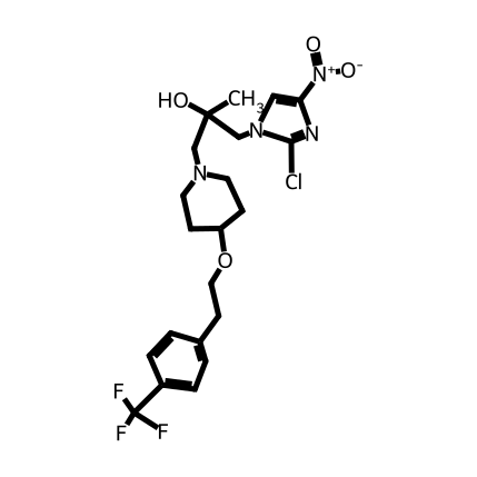 CC(O)(CN1CCC(OCCc2ccc(C(F)(F)F)cc2)CC1)Cn1cc([N+](=O)[O-])nc1Cl